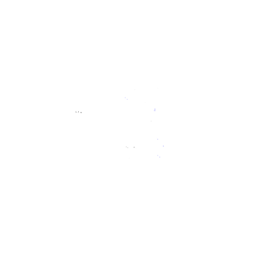 COc1ccc(N(C)C(=O)C(Cc2ccccc2)NC(=O)Cn2cc(-c3ccccc3NC(C)=O)nn2)cc1